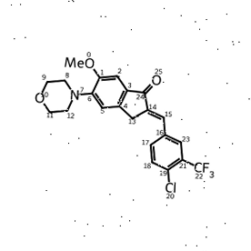 COc1cc2c(cc1N1CCOCC1)CC(=Cc1ccc(Cl)c(C(F)(F)F)c1)C2=O